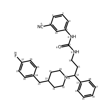 N#Cc1cccc(NC(=O)NCCC(c2ccccc2)N2CCC(Cc3ccc(F)cc3)CC2)c1